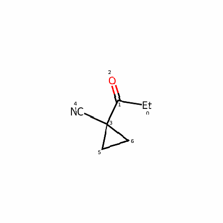 CCC(=O)C1(C#N)CC1